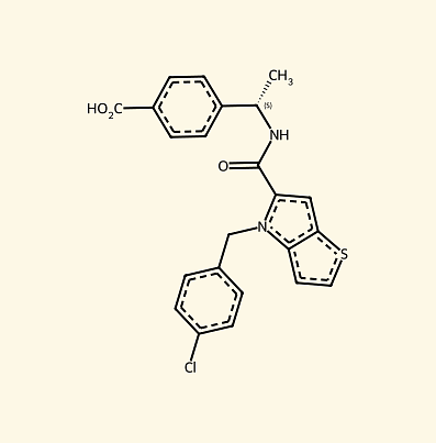 C[C@H](NC(=O)c1cc2sccc2n1Cc1ccc(Cl)cc1)c1ccc(C(=O)O)cc1